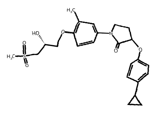 Cc1cc(N2CCC(Oc3ccc(C4CC4)cc3)C2=O)ccc1OC[C@@H](O)CS(C)(=O)=O